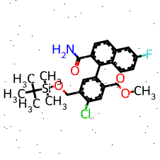 COC(=O)c1cc(Cl)c(CO[Si](C)(C)C(C)(C)C)cc1-c1c(C(N)=O)ccc2cc(F)ccc12